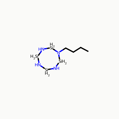 CCCCN1[SiH2]N[SiH2]N[SiH2]N[SiH2]1